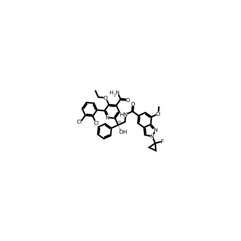 CCOc1c(C(N)=O)cc([C@@](O)(CNC(=O)c2cc(OC)c3nn(C4(F)CC4)cc3c2)c2ccccc2)nc1-c1cccc(Cl)c1Cl